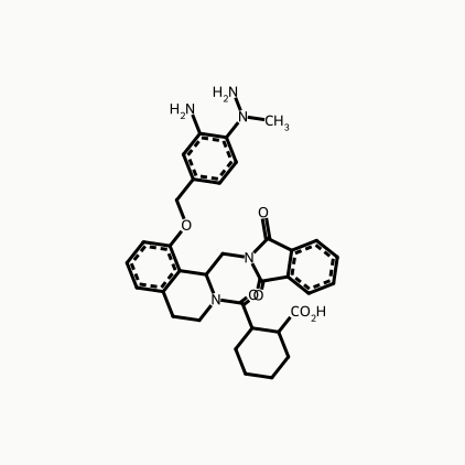 CN(N)c1ccc(COc2cccc3c2C(CN2C(=O)c4ccccc4C2=O)N(C(=O)C2CCCCC2C(=O)O)CC3)cc1N